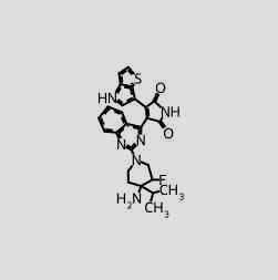 CC(C)C1(N)CCN(c2nc(C3=C(c4c[nH]c5ccsc45)C(=O)NC3=O)c3ccccc3n2)CC1F